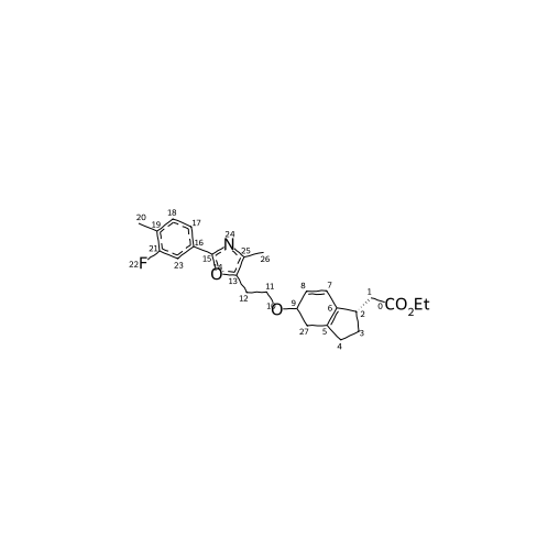 CCOC(=O)C[C@@H]1CCC2=C1C=CC(OCCc1oc(-c3ccc(C)c(F)c3)nc1C)C2